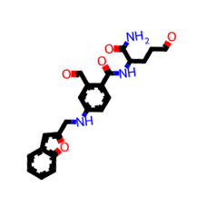 NC(=O)C(CCC=O)NC(=O)c1ccc(NCc2cc3ccccc3o2)cc1C=O